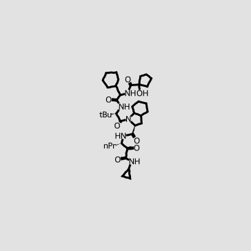 CCC[C@H](NC(=O)[C@@H]1CC2CCCCC2N1C(=O)[C@@H](NC(=O)C(NC(=O)C1(O)CCCC1)C1CCCCC1)C(C)(C)C)C(=O)C(=O)NC1CC1